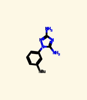 CCCCc1cccc(-n2nc(N)nc2N)c1